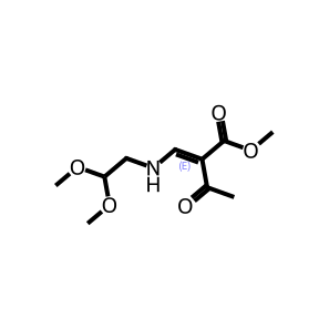 COC(=O)/C(=C/NCC(OC)OC)C(C)=O